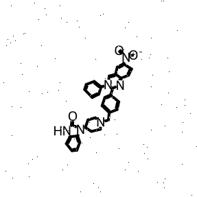 O=c1[nH]c2ccccc2n1C1CCN(Cc2ccc(C3N=c4ccc([N+](=O)[O-])cc4=CN3c3ccccc3)cc2)CC1